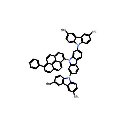 CC(C)(C)c1ccc2c(c1)c1cc(C(C)(C)C)ccc1n2-c1ccc2c3ccc(-n4c5ccc(C(C)(C)C)cc5c5cc(C(C)(C)C)ccc54)cc3n(-c3ccc4ccc5c(-c6ccccc6)ccc6ccc3c4c65)c2c1